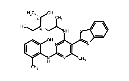 Cc1cccc(O)c1Nc1nc(C)c(-c2nc3ccccc3s2)c(NC(C)C[C@H](CO)[C@H](C)O)n1